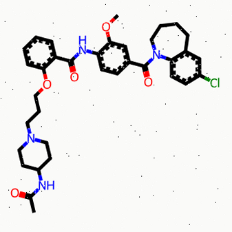 COc1cc(C(=O)N2CCCCc3cc(Cl)ccc32)ccc1NC(=O)c1ccccc1OCCCN1CCC(NC(C)=O)CC1